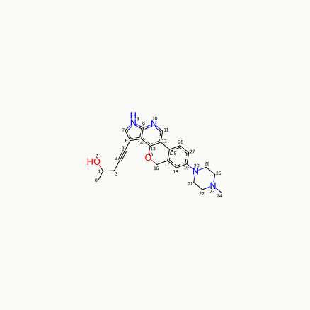 CC(O)CC#Cc1c[nH]c2ncc3c(c12)OCc1cc(N2CCN(C)CC2)ccc1-3